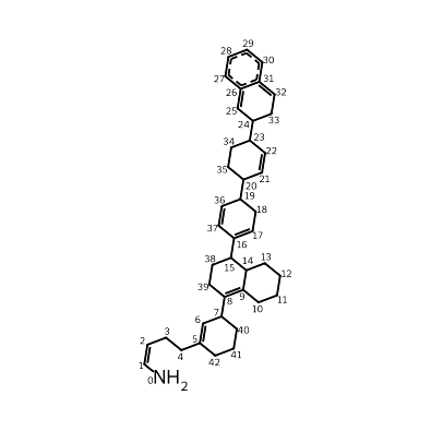 N/C=C\CCC1=CC(C2=C3CCCCC3C(C3=CCC(C4C=CC(C5C=c6ccccc6=CC5)CC4)C=C3)CC2)CCC1